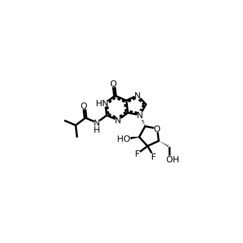 CC(C)C(=O)Nc1nc2c(ncn2[C@@H]2O[C@H](CO)C(F)(F)[C@H]2O)c(=O)[nH]1